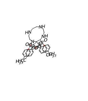 Cc1ccc(S(=O)(=O)C2NCCNCCNCCN(S(=O)(=O)c3ccc(C)cc3)C2(S(=O)(=O)c2ccc(C)cc2)S(=O)(=O)c2ccc(C)cc2)cc1